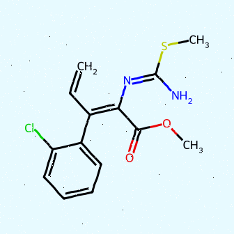 C=C/C(=C(\N=C(/N)SC)C(=O)OC)c1ccccc1Cl